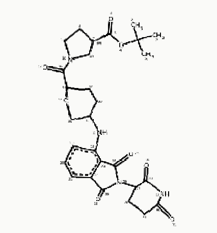 CC(C)(C)OC(=O)[C@@H]1CCN(C(=O)C2CCC(Nc3cccc4c3C(=O)N(C3CCC(=O)NC3=O)C4=O)CC2)C1